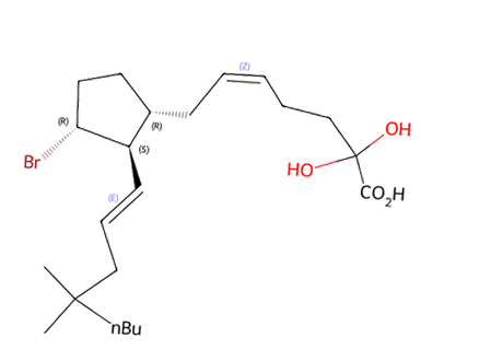 CCCCC(C)(C)C/C=C/[C@@H]1[C@@H](C/C=C\CCC(O)(O)C(=O)O)CC[C@H]1Br